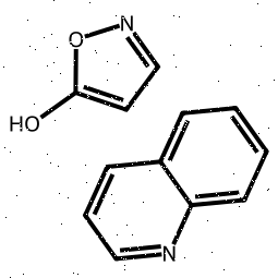 Oc1ccno1.c1ccc2ncccc2c1